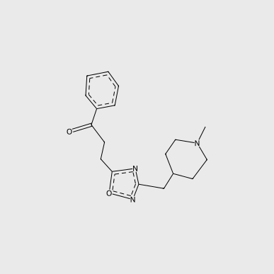 CN1CCC(Cc2noc(CCC(=O)c3ccccc3)n2)CC1